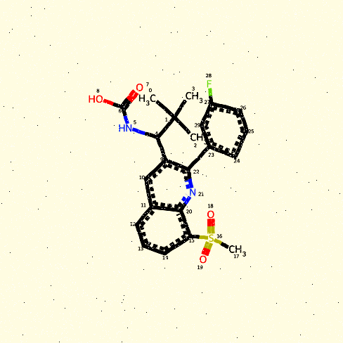 CC(C)(C)C(NC(=O)O)c1cc2cccc(S(C)(=O)=O)c2nc1-c1cccc(F)c1